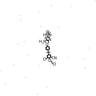 CC(C)(c1ccc(OCc2ncc(NS(C)(=O)=O)nc2N)cc1)c1cc(Cl)c(OCCCl)c(C#N)c1